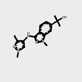 Cc1nn(C)cc1Nc1nn(C)c2cc(C(C)(C)O)ccc12